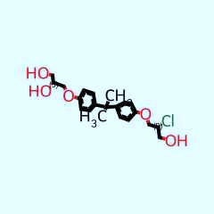 CC(C)(c1ccc(OC[C@@H](O)CO)cc1)c1ccc(OC[C@H](Cl)CO)cc1